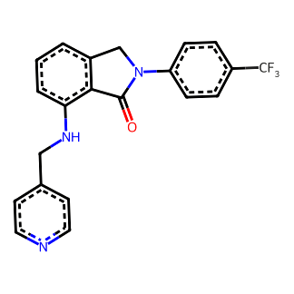 O=C1c2c(cccc2NCc2ccncc2)CN1c1ccc(C(F)(F)F)cc1